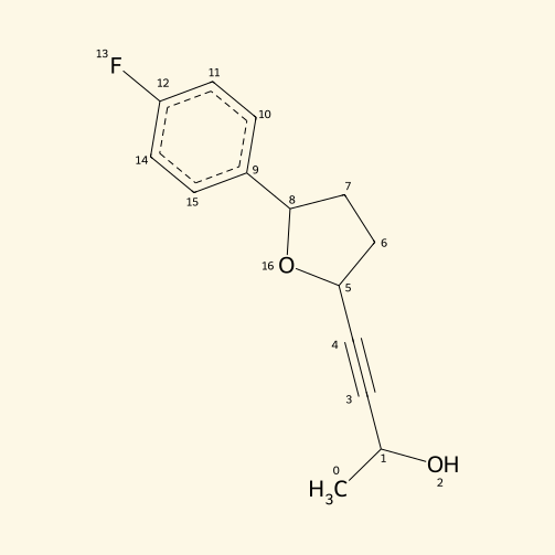 CC(O)C#CC1CCC(c2ccc(F)cc2)O1